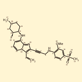 C=Cc1c(C#CCNc2ccc(S(C)(=O)=O)cc2OC)nc2c(N[C@@H]3CCN(C)C[C@@H]3F)cccn12